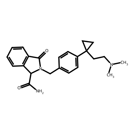 CN(C)CCC1(c2ccc(CN3C(=O)c4[c]cccc4C3C(N)=O)cc2)CC1